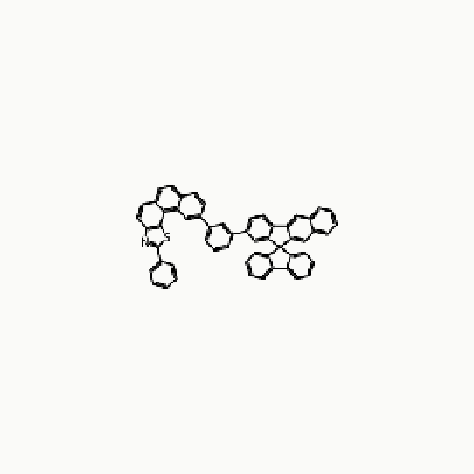 c1ccc(-c2nc3ccc4ccc5ccc(-c6cccc(-c7ccc8c(c7)C7(c9ccccc9-c9ccccc97)c7cc9ccccc9cc7-8)c6)cc5c4c3s2)cc1